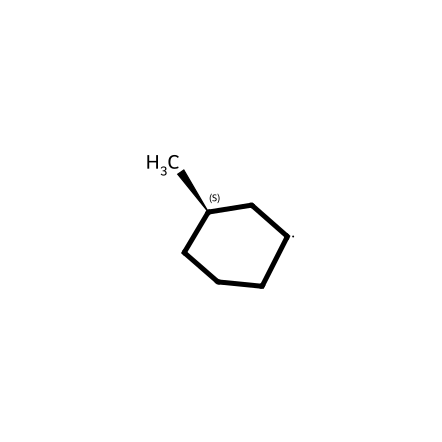 C[C@H]1C[CH]CCC1